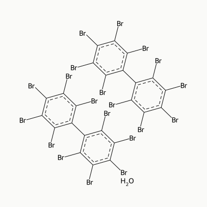 Brc1c(Br)c(Br)c(-c2c(Br)c(Br)c(Br)c(Br)c2Br)c(Br)c1Br.Brc1c(Br)c(Br)c(-c2c(Br)c(Br)c(Br)c(Br)c2Br)c(Br)c1Br.O